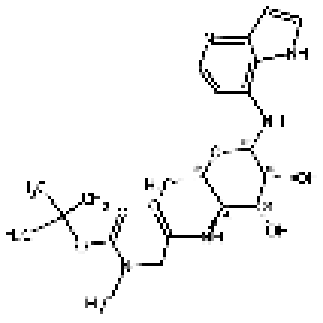 C[C@@H]1O[C@H](Nc2ccnc3cc[nH]c23)[C@H](O)[C@H](O)[C@H]1NC(=O)CN(C)C(=O)OC(C)(C)C